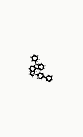 c1ccc(-c2ccc(-n3ccc4ccc5c(c6ccccc6n5-c5ccccc5)c43)nc2)cc1